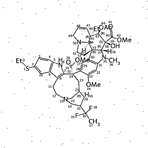 CCSc1ccc2[nH]c3c(c2c1)CCN1CC(C(C)(F)F)C[C@@H](C1)C[C@]3(C(=O)OC)c1cc2c(cc1OC)N(C)[C@H]1[C@@](O)(C(=O)OC)[C@H](OC(C)=O)[C@]3(CC)C=CCN4CC[C@]21[C@@H]43